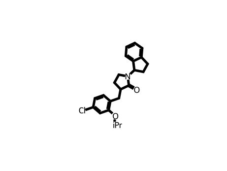 CC(C)Oc1cc(Cl)ccc1CC1CCN(C2CCc3ccccc32)C1=O